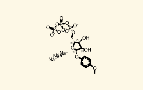 COc1ccc(O[C@@H]2O[C@H](COP(=O)([O-])OP(=O)([O-])OP(=O)([O-])[O-])[C@@H](O)[C@H]2O)cc1.[Na+].[Na+].[Na+].[Na+]